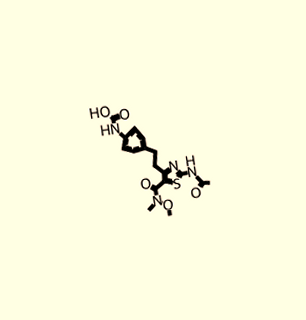 CON(C)C(=O)c1sc(NC(C)=O)nc1CCc1ccc(NC(=O)O)cc1